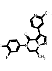 Cc1cc(-c2cnn3c2C(=O)N(c2ccc(F)c(F)c2)CC3C)ccn1